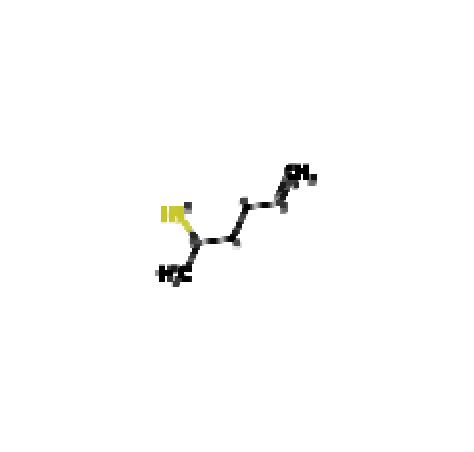 [CH2]C(S)CCC=C